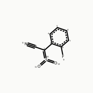 N#CC(c1ccccc1F)=S(=O)=O